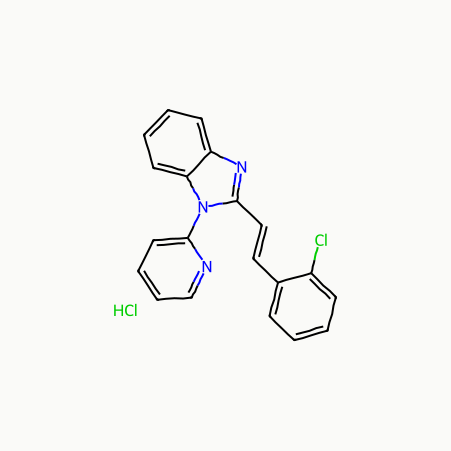 Cl.Clc1ccccc1C=Cc1nc2ccccc2n1-c1ccccn1